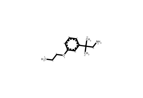 CCCOc1cccc(C(C)(C)CN)c1